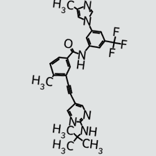 Cc1cn(-c2cc(NC(=O)c3ccc(C)c(C#Cc4cnc(NC(C)(C)C)nc4)c3)cc(C(F)(F)F)c2)cn1